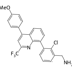 COc1ccc(-c2cc(C(F)(F)F)nc3c(-c4cc[c]c(CN)c4Cl)cccc23)cc1